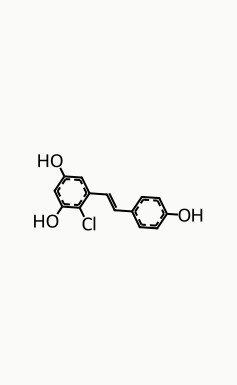 Oc1ccc(C=Cc2cc(O)cc(O)c2Cl)cc1